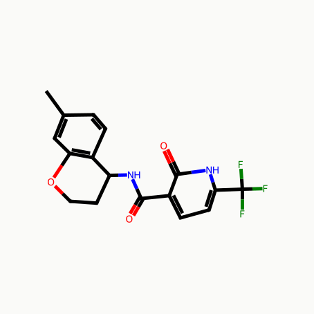 Cc1ccc2c(c1)OCCC2NC(=O)c1ccc(C(F)(F)F)[nH]c1=O